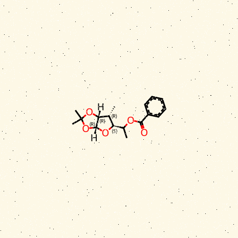 CC(OC(=O)c1ccccc1)[C@H]1O[C@@H]2OC(C)(C)O[C@@H]2[C@@H]1C